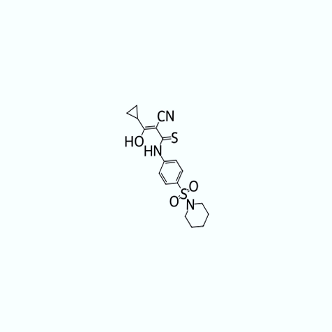 N#CC(C(=S)Nc1ccc(S(=O)(=O)N2CCCCC2)cc1)=C(O)C1CC1